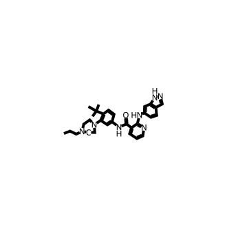 CCCN1CCN(c2cc(NC(=O)c3cccnc3Nc3ccc4cn[nH]c4c3)ccc2C(C)(C)C)CC1